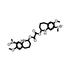 COc1cc2c(cc1[S+](C)[O-])NC(OC(=O)C(=O)OC1CCCc3cc(OC)c([S+](C)[O-])cc3N1)CCC2